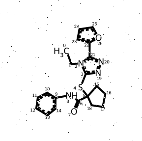 CCn1c(SC2(C(=O)Nc3ccccc3)CCCC2)nnc1-c1ccco1